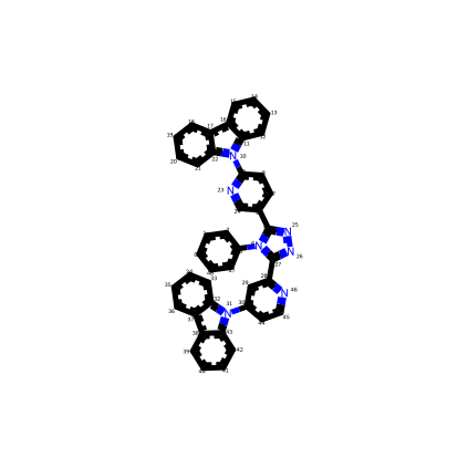 c1ccc(-n2c(-c3ccc(-n4c5ccccc5c5ccccc54)nc3)nnc2-c2cc(-n3c4ccccc4c4ccccc43)ccn2)cc1